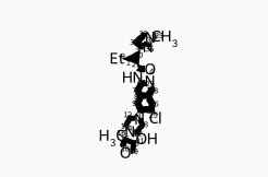 CC[C@H]1[C@H](C(=O)Nc2cc3cc(N4CCN([C@]5(C)COC[C@@H]5O)CC4)c(Cl)cc3cn2)[C@H]1c1ccn(C)n1